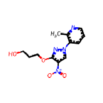 Cc1ncccc1-n1cc([N+](=O)[O-])c(OCCCO)n1